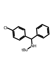 CC(C)(C)NC(c1ccccc1)c1ccc(Cl)cc1